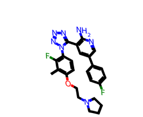 Cc1c(OCCN2CCCC2)ccc(-n2nnnc2-c2cc(-c3ccc(F)cc3)cnc2N)c1F